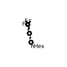 CCCCCC[C@H]1CC[C@H](CC[C@H]2CC[C@H](CCc3cc(F)c(F)c(F)c3)CC2)CC1